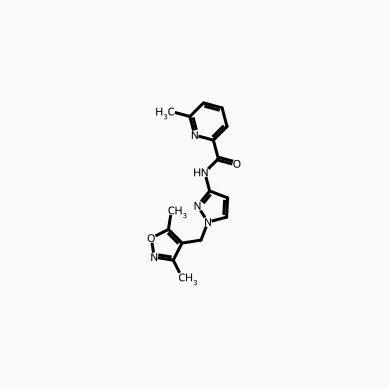 Cc1cccc(C(=O)Nc2ccn(Cc3c(C)noc3C)n2)n1